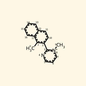 Cc1c(-c2nccc[n+]2C)ccc2ccccc12